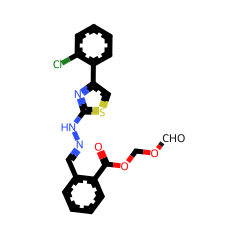 O=COCOC(=O)c1ccccc1/C=N/Nc1nc(-c2ccccc2Cl)cs1